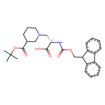 CC(C)(C)OC(=O)C1CCCN(C[C@H](NC(=O)OCC2c3ccccc3-c3ccccc32)C(=O)O)C1